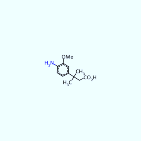 COc1cc(C(C)(C)CC(=O)O)ccc1N